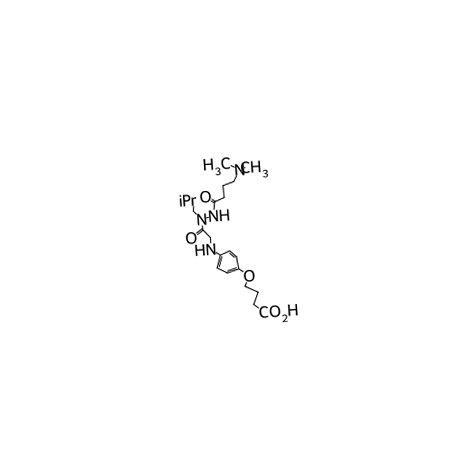 CC(C)CN(NC(=O)CCCN(C)C)C(=O)CNc1ccc(OCCCC(=O)O)cc1